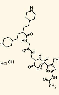 CC(=O)Nc1nc(C)c(S(=O)(=O)NC(CNC(=O)CNC(=O)C(CCC2CCNCC2)CCC2CCNCC2)C(=O)O)s1.Cl.Cl